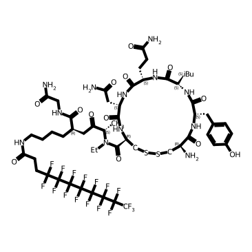 CC[C@H](C)[C@@H]1NC(=O)[C@H](Cc2ccc(O)cc2)NC(=O)[C@@H](N)CSSC[C@@H](C(=O)N(CC)[C@@H](C)C(=O)C[C@@H](CCCCNC(=O)CCC(F)(F)C(F)(F)C(F)(F)C(F)(F)C(F)(F)C(F)(F)C(F)(F)C(F)(F)F)C(=O)NCC(N)=O)NC(=O)[C@H](CC(N)=O)NC(=O)[C@H](CCC(N)=O)NC1=O